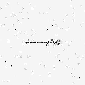 CC(C)(C)C(=O)OCOC(=O)CCCCCCCCCCC(=O)O